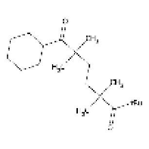 CC(C)(C)C(=O)C(C)(C)CCC(C)(C)C(=O)C1CCCCC1